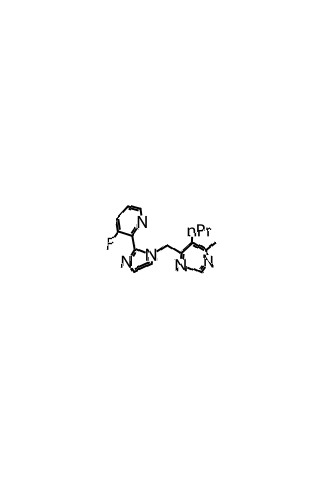 CCCc1c(C)ncnc1Cn1ccnc1-c1ncccc1F